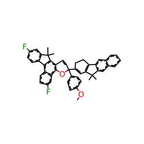 COc1ccc(C2(C3=CC4=C(CC3)c3cc5ccccc5cc3C4(C)C)C=Cc3c4c(c5ccc(F)cc5c3O2)-c2ccc(F)cc2C4(C)C)cc1